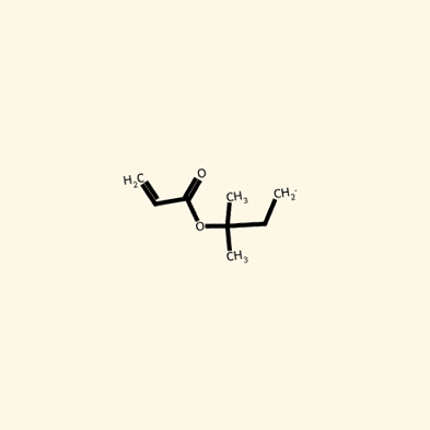 [CH2]CC(C)(C)OC(=O)C=C